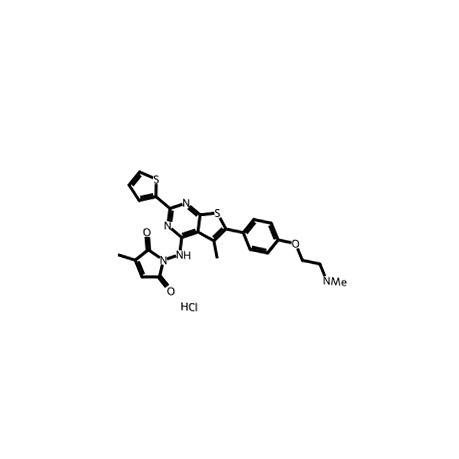 CNCCOc1ccc(-c2sc3nc(-c4cccs4)nc(NN4C(=O)C=C(C)C4=O)c3c2C)cc1.Cl